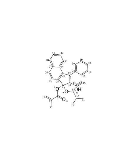 C=C(C)C(=O)OC1(OC(O)C(C)C)c2c#cc3ccccc3c2-c2c1ccc1ccccc21